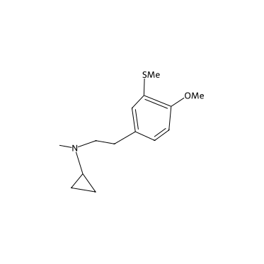 COc1ccc(CCN(C)C2CC2)cc1SC